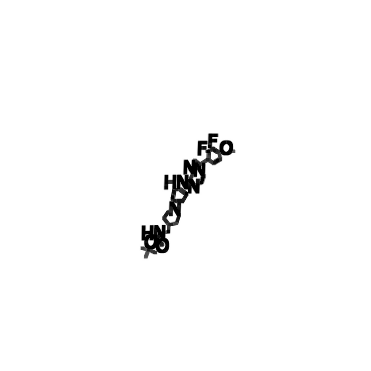 COc1ccc(-c2cnc3c(Nc4ccc(N5CCC(CNC(=O)OC(C)(C)C)CC5)cc4)nccn23)c(F)c1F